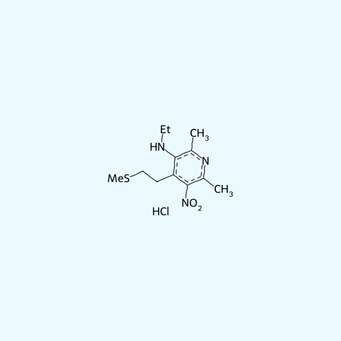 CCNc1c(C)nc(C)c([N+](=O)[O-])c1CCSC.Cl